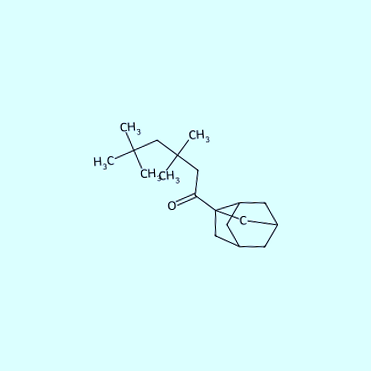 CC(C)(C)CC(C)(C)CC(=O)C12CC3CC(CC1C3)C2